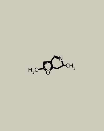 Cc1cc2c(o1)CC(C)N=C2